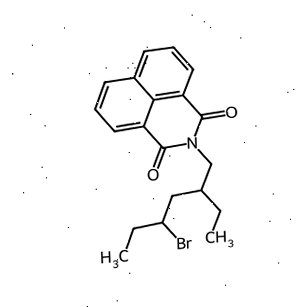 CCC(Br)CC(CC)CN1C(=O)c2cccc3cccc(c23)C1=O